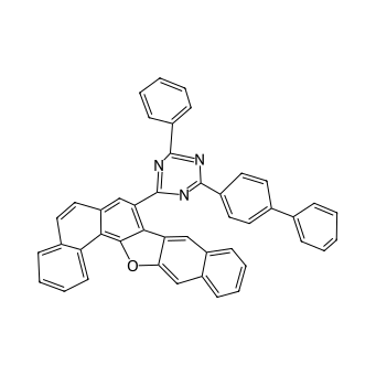 c1ccc(-c2ccc(-c3nc(-c4ccccc4)nc(-c4cc5ccc6ccccc6c5c5oc6cc7ccccc7cc6c45)n3)cc2)cc1